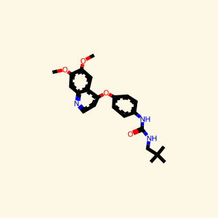 COc1cc2nccc(Oc3ccc(NC(=O)NCC(C)(C)C)cc3)c2cc1OC